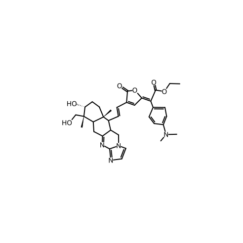 CCOC(=O)/C(=C1C=C(/C=C/C2C3Cn4ccnc4N=C3CC3[C@]2(C)CC[C@@H](O)[C@@]3(C)CO)C(=O)O/1)c1ccc(N(C)C)cc1